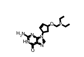 CCP(CC)COC1C=CC(n2cnc3c(=O)[nH]c(N)nc32)C1